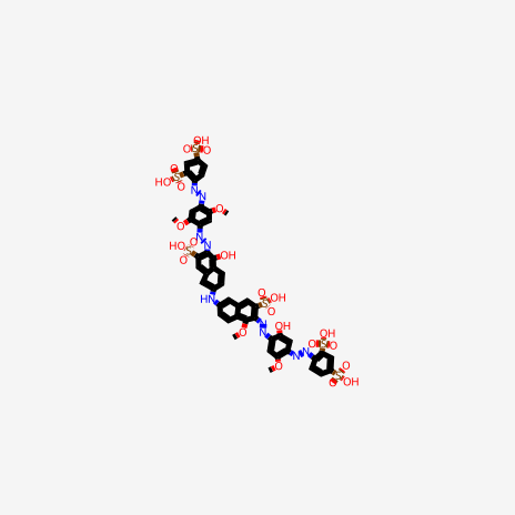 COc1cc(N=Nc2c(S(=O)(=O)O)cc3cc(Nc4ccc5c(O)c(N=Nc6cc(OC)c(N=Nc7ccc(S(=O)(=O)O)cc7S(=O)(=O)O)cc6OC)c(S(=O)(=O)O)cc5c4)ccc3c2OC)c(O)cc1N=Nc1ccc(S(=O)(=O)O)cc1S(=O)(=O)O